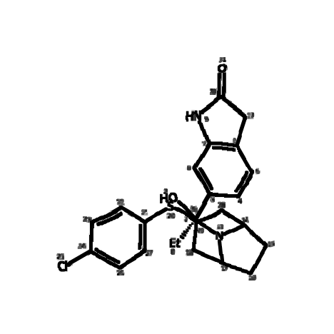 CC[C@](O)(c1ccc2c(c1)NC(=O)C2)N1C2CCC1CC(Sc1ccc(Cl)cc1)C2